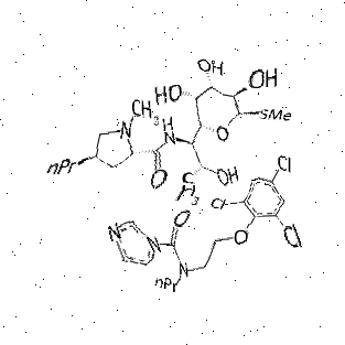 CCCN(CCOc1c(Cl)cc(Cl)cc1Cl)C(=O)n1ccnc1.CCC[C@@H]1C[C@@H](C(=O)N[C@@H]([C@H]2O[C@H](SC)[C@H](O)[C@@H](O)[C@H]2O)[C@@H](C)O)N(C)C1